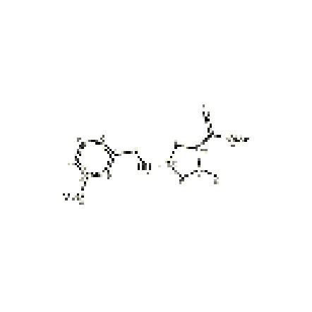 COC(=O)[C@@H]1C[C@@H](NCc2cccc(OC)c2)CN1C